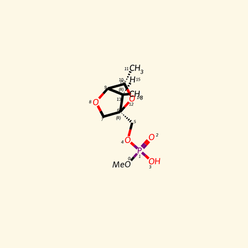 COP(=O)(O)OC[C@@]12COC([C@H](C)O1)[C@H]2C